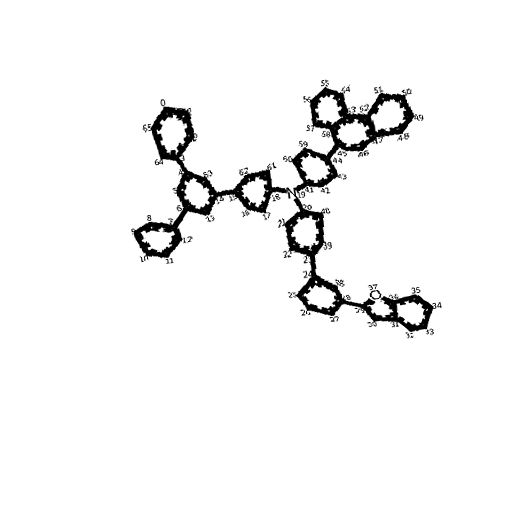 c1ccc(-c2cc(-c3ccccc3)cc(-c3ccc(N(c4ccc(-c5cccc(-c6cc7ccccc7o6)c5)cc4)c4ccc(-c5cc6ccccc6c6ccccc56)cc4)cc3)c2)cc1